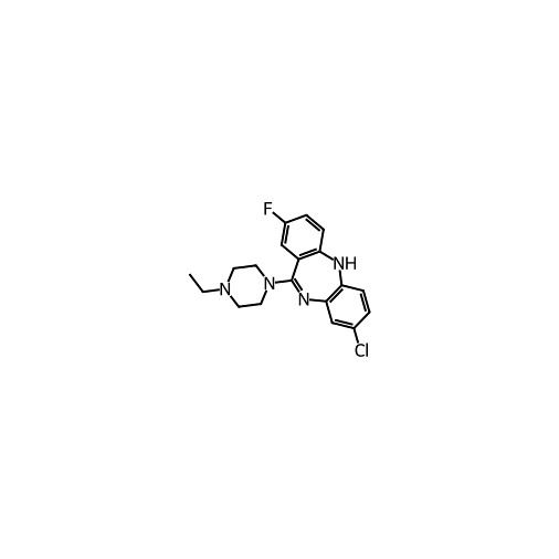 CCN1CCN(C2=Nc3cc(Cl)ccc3Nc3ccc(F)cc32)CC1